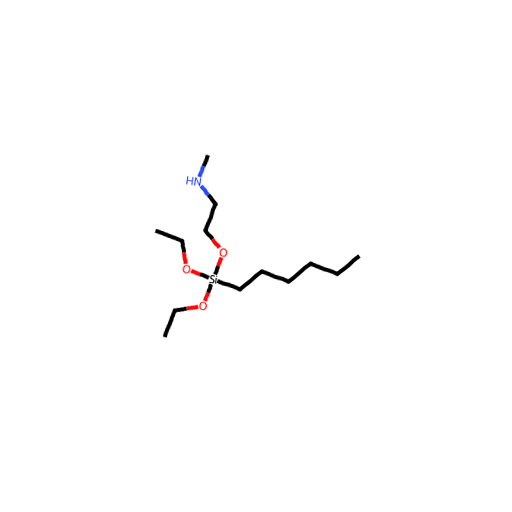 CCCCCC[Si](OCC)(OCC)OCCNC